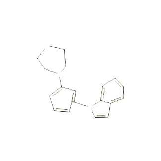 [c]1ccc(N2CCOCC2)cc1-n1ccc2ccccc21